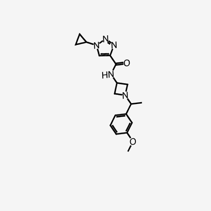 COc1cccc(C(C)N2CC(NC(=O)c3cn(C4CC4)nn3)C2)c1